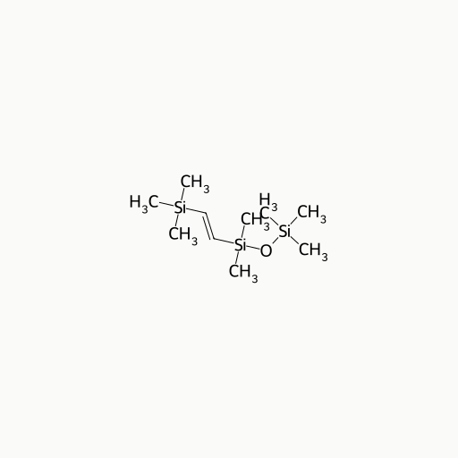 C[Si](C)(C)C=C[Si](C)(C)O[Si](C)(C)C